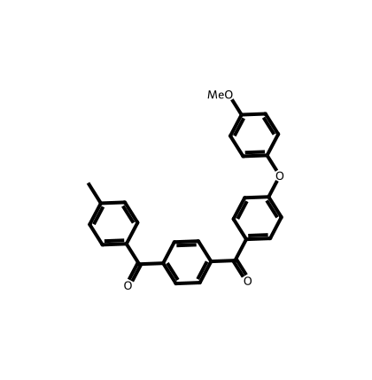 COc1ccc(Oc2ccc(C(=O)c3ccc(C(=O)c4ccc(C)cc4)cc3)cc2)cc1